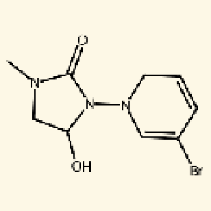 CN1CC(O)N(N2C=C(Br)C=CC2)C1=O